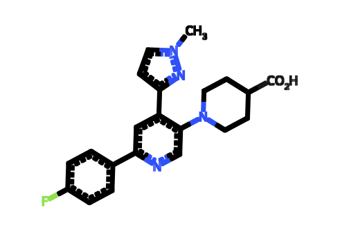 Cn1ccc(-c2cc(-c3ccc(F)cc3)ncc2N2CCC(C(=O)O)CC2)n1